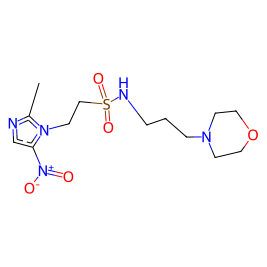 Cc1ncc([N+](=O)[O-])n1CCS(=O)(=O)NCCCN1CCOCC1